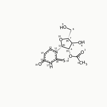 CC(=O)O[C@H]1C(O)[C@@H](CO)O[C@H]1n1ccc(=O)[nH]c1=S